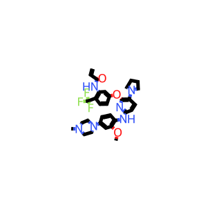 C=CC(=O)Nc1cc(Oc2nc(Nc3ccc(N4CCN(C)CC4)cc3OC)ccc2N2CCCC2)ccc1C(F)(F)F